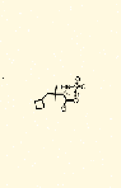 CC(C)(CC1CCC1)[C@H](NS(=O)(=O)Br)C(=O)Cl